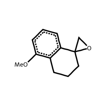 COc1cccc2c1CCCC21CO1